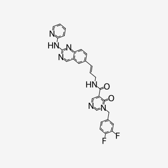 O=C(NCC=Cc1ccc2nc(Nc3ccccn3)ncc2c1)c1cncn(Cc2ccc(F)c(F)c2)c1=O